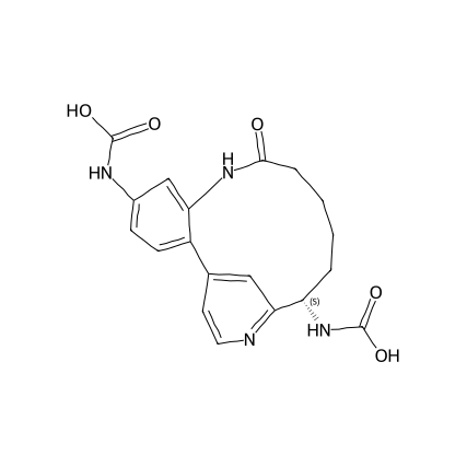 O=C(O)Nc1ccc2c(c1)NC(=O)CCCC[C@H](NC(=O)O)c1cc-2ccn1